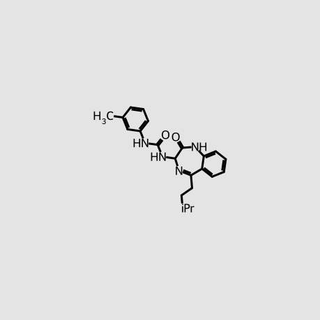 Cc1cccc(NC(=O)NC2N=C(CCC(C)C)c3ccccc3NC2=O)c1